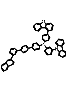 c1cc(-c2ccc(-c3ccc(N(c4ccc(-c5cccc6oc7ccccc7c56)cc4)c4cccc(-n5c6ccccc6c6ccccc65)c4)cc3)cc2)cc(-c2ccc3ccccc3c2)c1